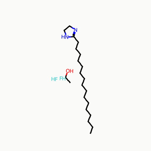 CCCCCCCCCCCCCCCCC1=NCCN1.CCO.F.F